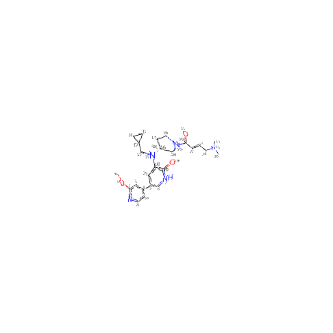 COc1cc(-c2c[nH]c(=O)c(N(CC3CC3)[C@@H]3CCN(C(=O)C=CCN(C)C)C3)c2)ccn1